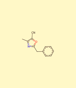 Cc1nc(Cc2ccccc2)oc1C#N